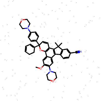 COc1cc2c3c(c4c(c2cc1N1CCOCC1)-c1ccc(C#N)cc1C4(C)C)C=CC(C1=CC=CCC1)(c1ccc(N2CCOCC2)cc1)O3